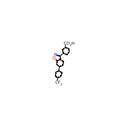 O=C(O)c1cccc(-c2noc3cc(-c4ccc(C(F)(F)F)cc4)ccc23)c1